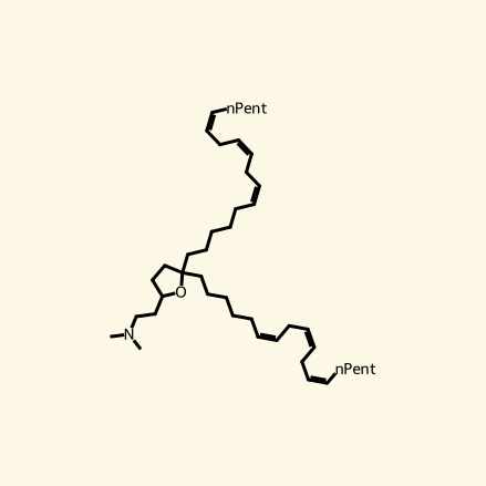 CCCCC/C=C\C/C=C\C/C=C\CCCCCC1(CCCCC/C=C\C/C=C\C/C=C\CCCCC)CCC(CCN(C)C)O1